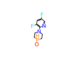 O=[PH]1CCN(c2ncc(F)cc2F)CC1